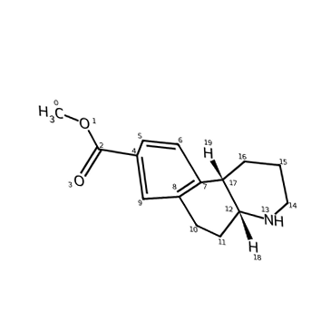 COC(=O)c1ccc2c(c1)CC[C@H]1NCCC[C@@H]21